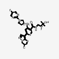 CC(C)(O)[C@H](F)CNC(=O)c1cnc(-c2cnn3cc(Cl)cnc23)cc1N[C@@H]1CCN(c2ncc(F)cn2)C1